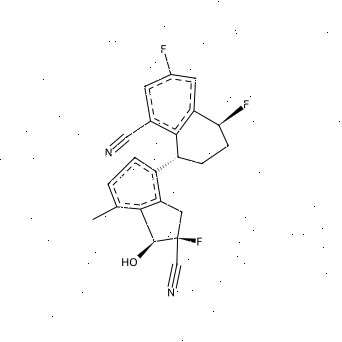 Cc1ccc([C@H]2CC[C@H](F)c3cc(F)cc(C#N)c32)c2c1[C@H](O)[C@@](F)(C#N)C2